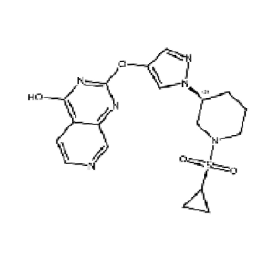 O=S(=O)(C1CC1)N1CCC[C@H](n2cc(Oc3nc(O)c4ccncc4n3)cn2)C1